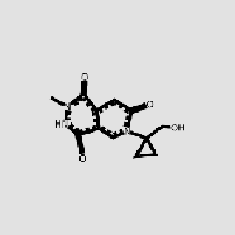 Cn1[nH]c(=O)c2cn(C3(CO)CC3)c(=O)cc2c1=O